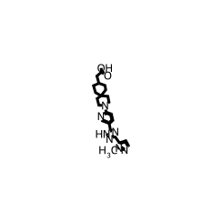 Cn1nccc1-c1n[nH]c(-c2ccc(N3CCC4(CCC(CC(=O)O)CC4)CC3)nc2)n1